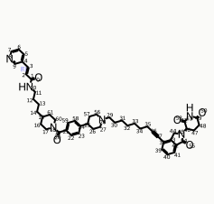 O=C(/C=C/c1cccnc1)NCCCCC1CCN(C(=O)c2ccc(C3CCN(CCCCCCCC#Cc4cccc5c4CN(C4CCC(=O)NC4=O)C5=O)CC3)cc2)CC1